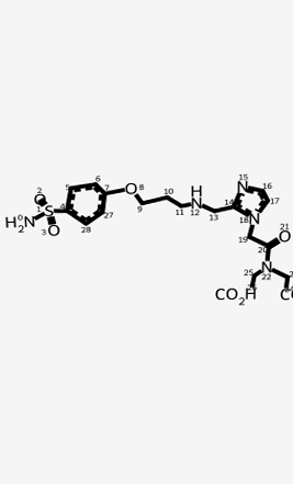 NS(=O)(=O)c1ccc(OCCCNCc2nccn2CC(=O)N(CC(=O)O)CC(=O)O)cc1